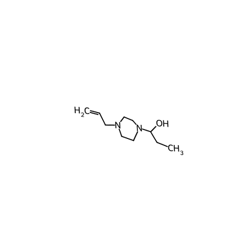 C=CCN1CCN(C(O)CC)CC1